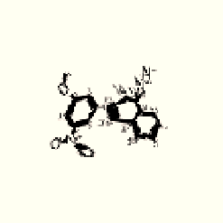 COc1cccc([N+](=O)[O-])c1.[N-]=[N+]=C1CC=Cc2ccccc21